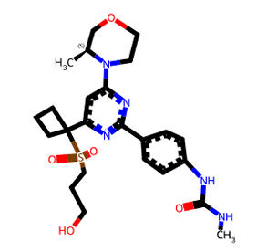 CNC(=O)Nc1ccc(-c2nc(N3CCOC[C@@H]3C)cc(C3(S(=O)(=O)CCCO)CCC3)n2)cc1